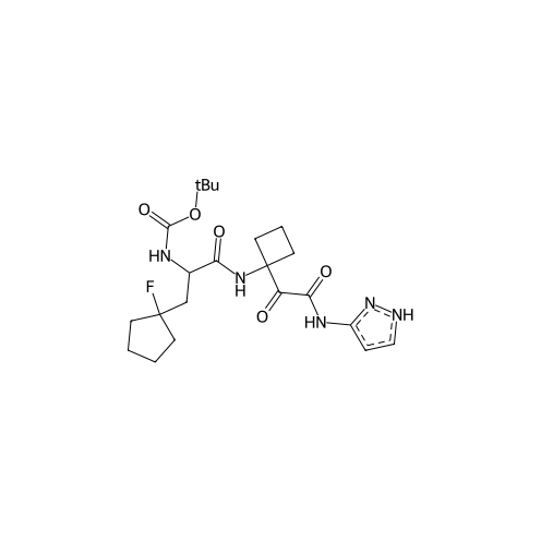 CC(C)(C)OC(=O)NC(CC1(F)CCCC1)C(=O)NC1(C(=O)C(=O)Nc2cc[nH]n2)CCC1